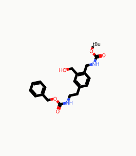 CC(C)(C)OC(=O)NCc1ccc(CCNC(=O)OCc2ccccc2)cc1CO